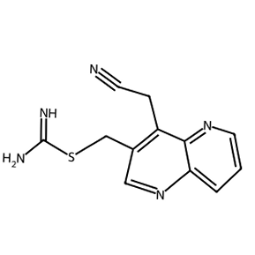 N#CCc1c(CSC(=N)N)cnc2cccnc12